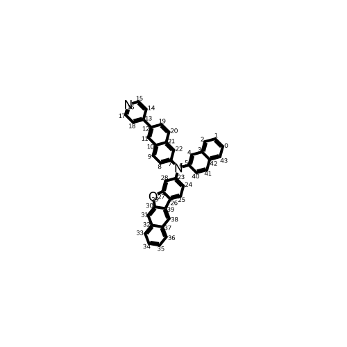 c1ccc2cc(N(c3ccc4cc(-c5ccncc5)ccc4c3)c3ccc4c(c3)oc3cc5ccccc5cc34)ccc2c1